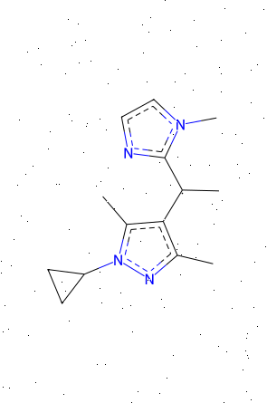 C[C](c1c(C)nn(C2CC2)c1C)c1nccn1C